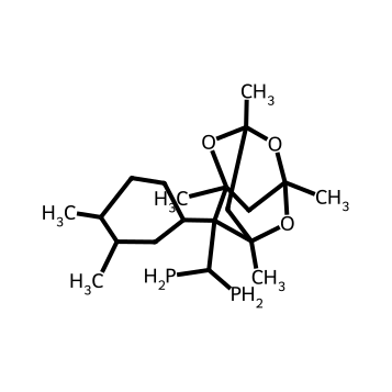 CC1CCC(C2(C(P)P)C3(C)CC4(C)OC(C)(CC2(C)O4)O3)CC1C